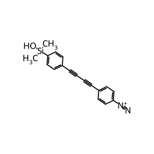 C[Si](C)(O)c1ccc(C#CC#Cc2ccc([N+]#N)cc2)cc1